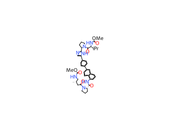 COC(=O)NC[C@@H](C)CC(=O)N1CCC[C@H]1C(=O)Nc1cccc2cc(-c3ccc(-c4cnc(C5CCCN5C(=O)[C@@H](NC(=O)OC)C(C)C)[nH]4)cc3)ccc12